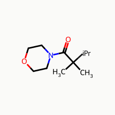 CC(C)C(C)(C)C(=O)N1CCOCC1